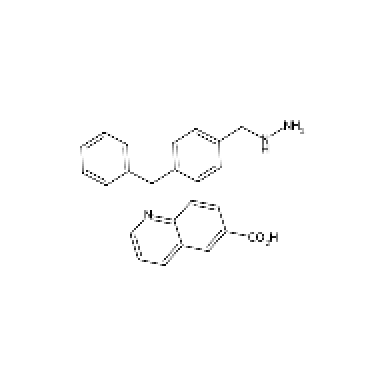 NNCc1ccc(Cc2ccccc2)cc1.O=C(O)c1ccc2ncccc2c1